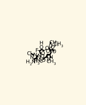 CCOC(=O)C(Cc1cc(C(=O)OC)n(C)n1)(OC[C@H]1O[C@@H](n2cnc3c(N)nc(Cl)nc32)[C@@H](F)[C@@H]1O)C(=O)OCC